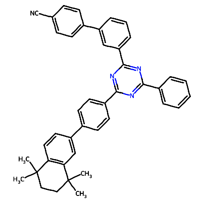 CC1(C)CCC(C)(C)c2cc(-c3ccc(-c4nc(-c5ccccc5)nc(-c5cccc(-c6ccc(C#N)cc6)c5)n4)cc3)ccc21